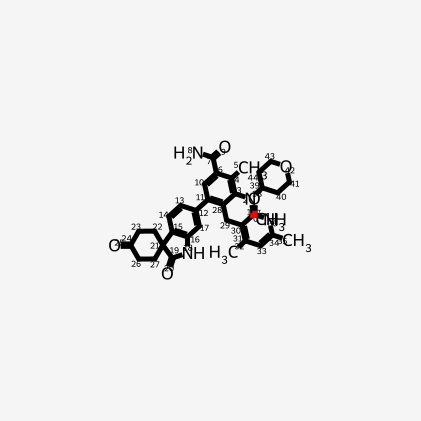 CCN(c1c(C)c(C(N)=O)cc(-c2ccc3c(c2)NC(=O)C32CCC(=O)CC2)c1Cc1c(C)cc(C)[nH]c1=O)C1CCOCC1